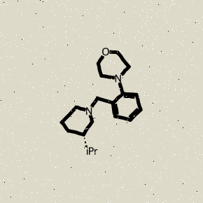 CC(C)[C@@H]1CCCN(Cc2ccccc2N2CCOCC2)C1